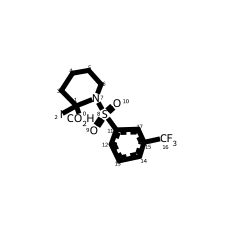 O=C(O)C1(I)CCCCN1S(=O)(=O)c1cccc(C(F)(F)F)c1